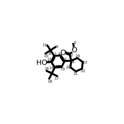 COC(=O)C1(c2cc(C(C)(C)C)c(O)c(C(C)(C)C)c2)CCCCC1